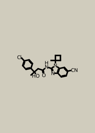 CC(O)(CC(=O)Nc1nc2ccc(C#N)cc2n1C1(C)CCC1)c1ccc(Cl)cc1